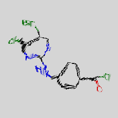 O=C(Cl)c1ccc(Nc2ncc(Br)c(Cl)n2)cc1